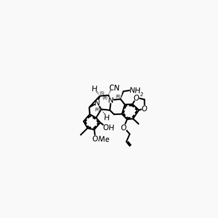 C=CCOc1c(C)c2c(c3c1CC1[C@H]4c5c(cc(C)c(OC)c5O)C5[C@@H]([C@H](C#N)N1[C@H]3CN)N54)OCO2